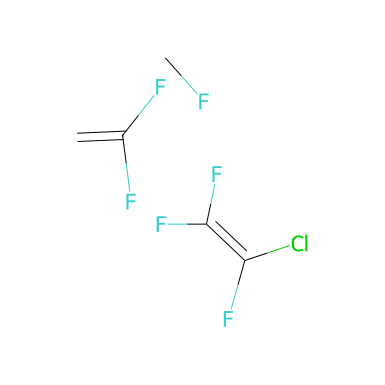 C=C(F)F.CF.FC(F)=C(F)Cl